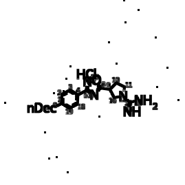 CCCCCCCCCCc1ccc(-c2noc(C3CCN(C(=N)N)C3)n2)cc1.Cl